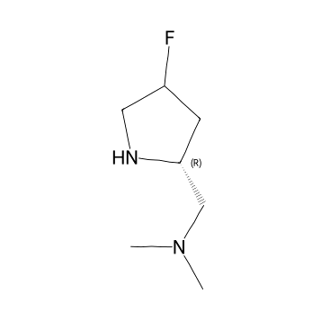 CN(C)C[C@H]1CC(F)CN1